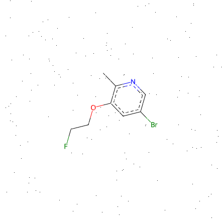 Cc1ncc(Br)cc1OCCF